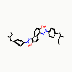 CCC(C)Cc1ccc(/N=N/c2c(O)ccc3c(/N=N/c4ccc(CC(C)CC)cc4)c(O)ccc23)cc1